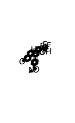 CN(C)C(=O)c1ccc([C@H]2C[C@@]3(C)[C@@H](CC[C@@]3(O)C(F)(F)C(F)(F)F)[C@@H]3CCC4=CC(=O)CCC4=C32)cc1